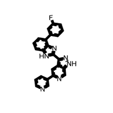 Fc1cccc(-c2cccc3[nH]c(-c4n[nH]c5cnc(-c6cccnc6)cc45)nc23)c1